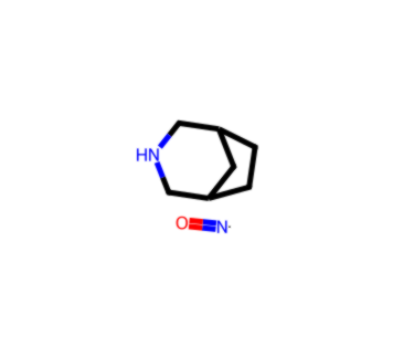 C1CC2CNCC1C2.[N]=O